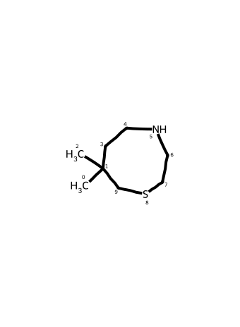 CC1(C)CCNCCSC1